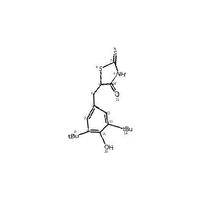 CC(C)(C)c1cc(CC2SC(=S)NC2=O)cc(C(C)(C)C)c1O